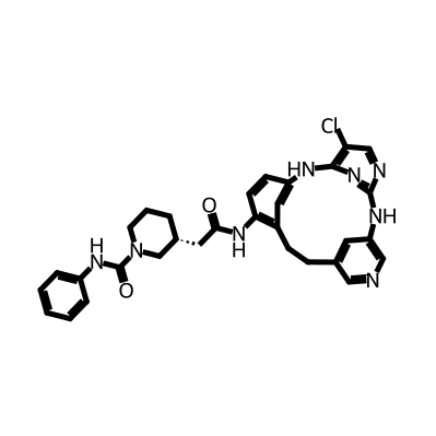 O=C(C[C@H]1CCCN(C(=O)Nc2ccccc2)C1)Nc1ccc2cc1CCc1cncc(c1)Nc1ncc(Cl)c(n1)N2